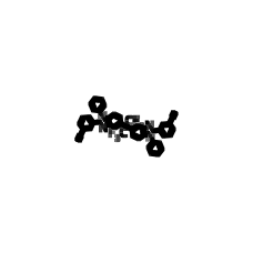 C#Cc1cccc(-c2nc3cc(C(c4ccc5c(c4)nc(-c4cccc(C#C)c4)n5-c4ccccc4)(C(F)(F)F)C(F)(F)F)ccc3n2-c2ccccc2)c1